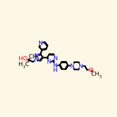 COCCN1CCN(c2ccc(Nc3nccc(-c4cn(CC(C)(C)O)nc4-c4cccnc4)n3)cc2)CC1